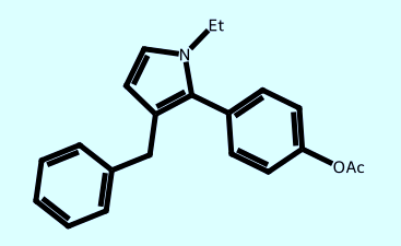 CCn1ccc(Cc2ccccc2)c1-c1ccc(OC(C)=O)cc1